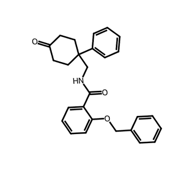 O=C1CCC(CNC(=O)c2ccccc2OCc2ccccc2)(c2ccccc2)CC1